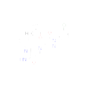 CC1(COc2c(N3CCC4(CC3)C(=O)NCN4c3ccccc3)cnn(-c3cccc(Cl)c3)c2=O)CC1